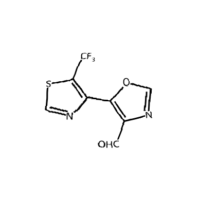 O=Cc1ncoc1-c1ncsc1C(F)(F)F